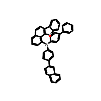 c1ccc(-c2ccc(N(c3ccc(-c4ccc5ccccc5c4)cc3)c3cccc4ccc5c6ccccc6sc5c34)cc2)cc1